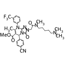 COC(=O)C1=C(C)N(c2cccc(C(F)(F)F)c2)c2nn(CC(=O)N(C)CCCCCN(C)C)c(=O)n2C1c1ccc(C#N)cc1